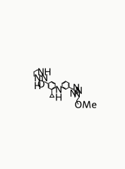 COCCn1nnc(-c2cccc(Nc3ccc(C(=O)N=C4NCCCN4)cc3C3CC3)c2)n1